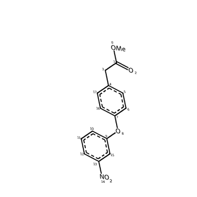 COC(=O)Cc1ccc(Oc2cccc([N+](=O)[O-])c2)cc1